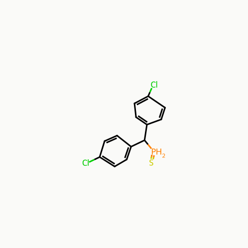 S=[PH2]C(c1ccc(Cl)cc1)c1ccc(Cl)cc1